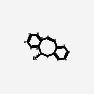 CCN1Cc2ccccc2/C=C\c2ccccc21